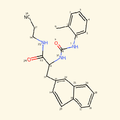 Cc1ccccc1NC(=O)NC(Cc1ccc2ccccc2c1)C(=O)NCCC#N